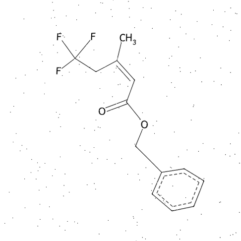 CC(=CC(=O)OCc1ccccc1)CC(F)(F)F